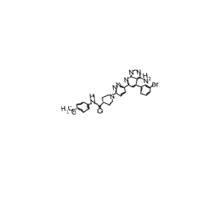 COc1ccc(NC(=O)C2CCN(c3ccc(-c4cc(-c5cccc(Br)c5)c5c(N)ncnc5n4)nn3)CC2)cc1